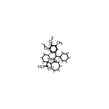 COc1cc(C(C(=O)N2CCCCC2(C(=O)O)C2CCCCCC2)C2CCCCC2)cc(OC)c1OC